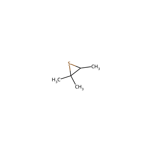 CC1SC1(C)C